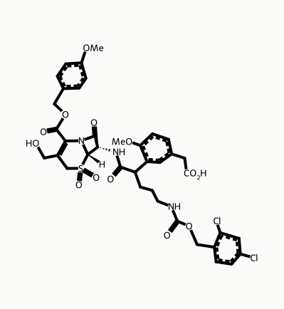 COc1ccc(COC(=O)C2=C(CO)CS(=O)(=O)[C@H]3[C@@H](NC(=O)C(CCCNC(=O)OCc4ccc(Cl)cc4Cl)c4cc(CC(=O)O)ccc4OC)C(=O)N23)cc1